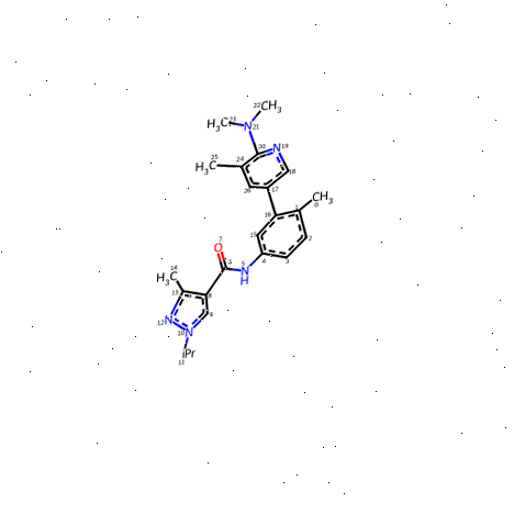 Cc1ccc(NC(=O)c2cn(C(C)C)nc2C)cc1-c1cnc(N(C)C)c(C)c1